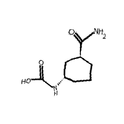 NC(=O)[C@H]1CCC[C@H](NC(=O)O)C1